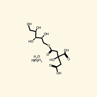 O.O=C(O)CC(O)(CC(=O)OC[C@H](O)[C@@H](O)[C@H](O)CO)C(=O)O.[Fe].[MgH2]